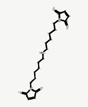 O=C1C=CC(=O)N1CCCCCCNCCCCCCN1C(=O)C=CC1=O